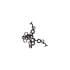 CC(C)CCOc1ccc(/C(=C/C2(/C=C(/c3ccc(OCCC(C)C)cc3)c3ccc(N(C)C)cc3)OC(=O)c3c(Cl)c(Cl)c(Cl)c(Cl)c32)c2ccc(N(C)C)cc2)cc1